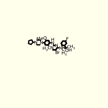 COc1cc(Nc2ncc(Br)c(Nc3ccc(F)cc3C(C)(C)O)n2)c(C)cc1N1CCN(C2CCCC2)CC1